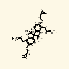 C=CCc1cc(C(c2ccc(OCC3CO3)c(CC=C)c2)(C(F)(F)F)C(F)(F)F)ccc1OCC1CO1